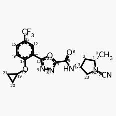 C[C@H]1C[C@@H](NC(=O)c2nnc(-c3cc(C(F)(F)F)ccc3OC3CC3)o2)CN1C#N